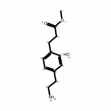 COC(=O)CCc1ccc(CCN)cc1.Cl